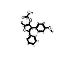 COc1ccc(-c2c(-c3ccccc3)oc(C)c2OC(=O)O)cc1